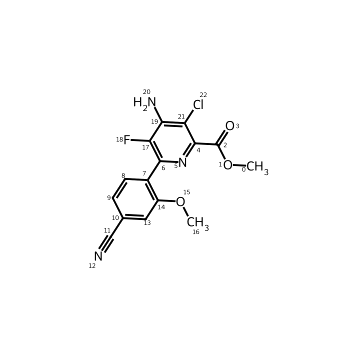 COC(=O)c1nc(-c2ccc(C#N)cc2OC)c(F)c(N)c1Cl